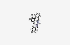 CC(=C\Sc1ccccc1)/C(=N/c1ccccc1)Sc1ccc(C)cc1